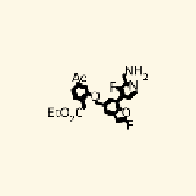 CCOC(=O)Cc1ccc(C(C)=O)cc1OCc1cc(-c2ccnc(CN)c2F)c2oc(F)cc2c1